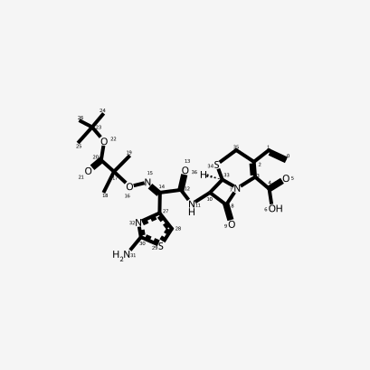 C=CC1=C(C(=O)O)N2C(=O)C(NC(=O)/C(=N/OC(C)(C)C(=O)OC(C)(C)C)c3csc(N)n3)[C@H]2SC1